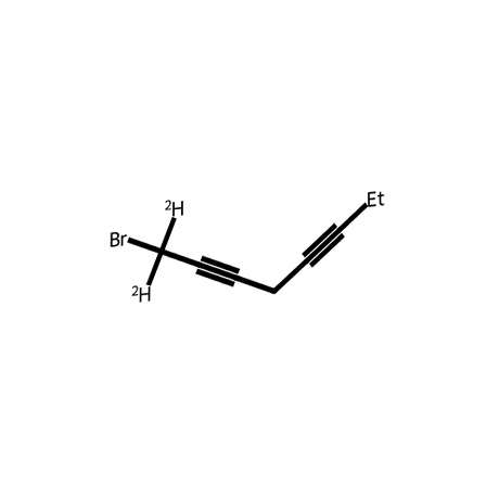 [2H]C([2H])(Br)C#CCC#CCC